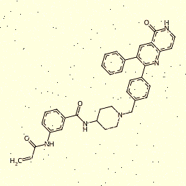 C=CC(=O)Nc1cccc(C(=O)NC2CCN(Cc3ccc(-c4nc5cc[nH]c(=O)c5cc4-c4ccccc4)cc3)CC2)c1